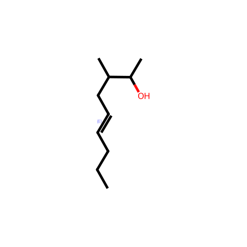 CCC/C=C/CC(C)C(C)O